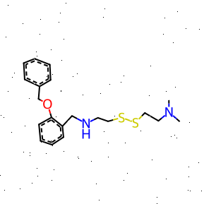 CN(C)CCSSCCNCc1ccccc1OCc1ccccc1